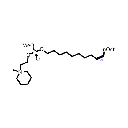 CCCCCCCC/C=C\CCCCCCCCOP(=O)(OC)OCC[N+]1(C)CCCCC1